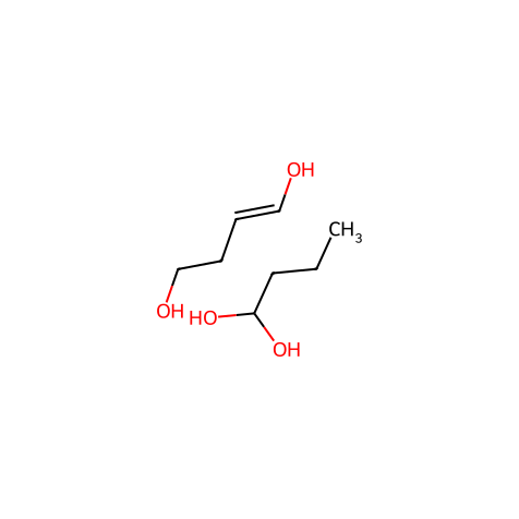 CCCC(O)O.O/C=C/CCO